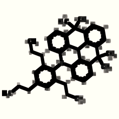 CCCc1cc(CCC)c(B2c3cccc4c3C3c5c2cccc5C(C)(C)c2cccc(c23)C4(C)C)c(CCC)c1